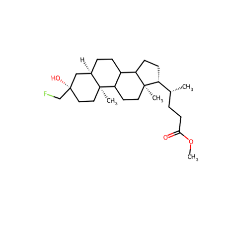 COC(=O)CC[C@@H](C)[C@H]1CCC2C3CC[C@@H]4C[C@](O)(CF)CC[C@]4(C)C3CC[C@@]21C